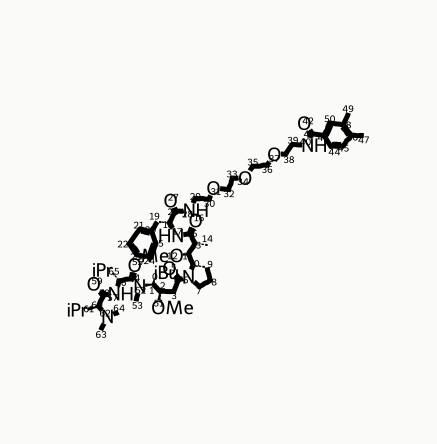 CC[C@H](C)[C@@H]([C@@H](CC(=O)N1CCC[C@H]1[C@H](OC)[C@@H](C)C(=O)N[C@H](Cc1ccccc1)C(=O)NCCOCCOCCOCCNC(=O)c1ccc(C)c(C)c1)OC)N(C)C(=O)[C@H](NC(=O)[C@H](C(C)C)N(C)C)C(C)C